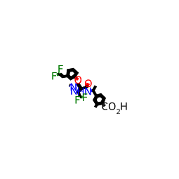 Cc1cc(C(C)NC(=O)c2c(C(F)F)nn(C)c2Oc2cccc(C=C(F)F)c2)ccc1C(=O)O